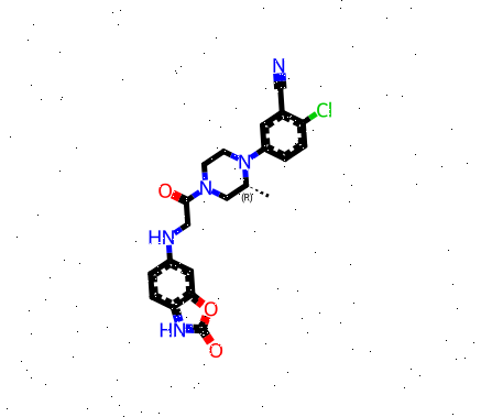 C[C@@H]1CN(C(=O)CNc2ccc3[nH]c(=O)oc3c2)CCN1c1ccc(Cl)c(C#N)c1